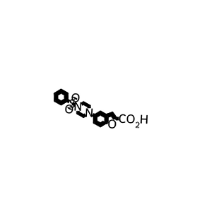 O=C(O)c1cc2cc(N3CCN(S(=O)(=O)c4ccccc4)CC3)ccc2o1